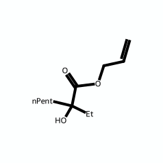 C=CCOC(=O)C(O)(CC)CCCCC